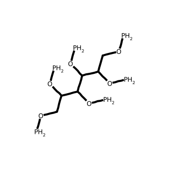 POCC(OP)C(OP)C(OP)C(COP)OP